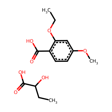 CCC(O)C(=O)O.CCOc1cc(OC)ccc1C(=O)O